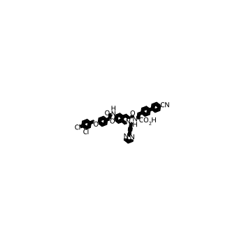 N#Cc1ccc(-c2ccc(C[C@H](NC(=O)[C@@H]3Cc4cc5c(cc4CN3CC#Cc3ncccn3)OC(c3ccc(OCc4ccc(Cl)c(Cl)c4)cc3)C(=O)N5)C(=O)O)cc2)cc1